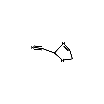 N#CC1[N]CC=N1